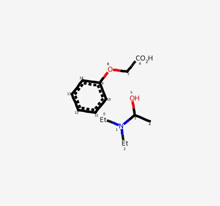 CCN(CC)C(C)O.O=C(O)COc1ccccc1